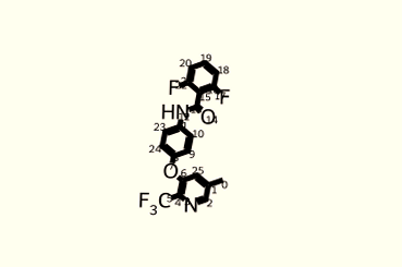 Cc1cnc(C(F)(F)F)c(Oc2ccc(NC(=O)c3c(F)cccc3F)cc2)c1